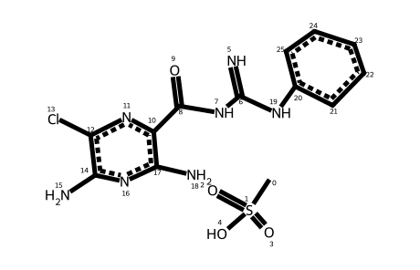 CS(=O)(=O)O.N=C(NC(=O)c1nc(Cl)c(N)nc1N)Nc1ccccc1